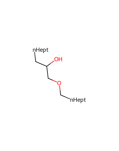 CCCCCCCCOCC(O)CCCCCCCC